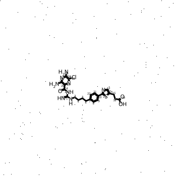 N=C(NCCCCc1ccc(-c2ncc(CCC(=O)O)s2)cc1)NC(=O)c1nc(Cl)c(N)nc1N